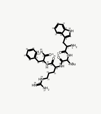 CCCCC(NC(=O)C(N)Cc1c[nH]c2ccccc12)C(=O)NC(CCCNC(=N)N)C(=O)NC(Cc1ccccc1)C(N)=O